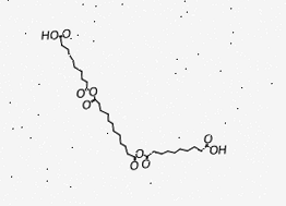 O=C(O)CCCCCCCCC(=O)OC(=O)CCCCCCCCCCC(=O)OC(=O)CCCCCCCCC(=O)O